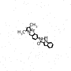 Cc1[c]c(C)n(Cc2ccc(NC(=O)c3cc4ccccc4[nH]3)cc2F)n1